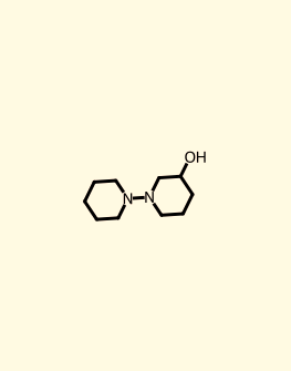 OC1CCCN(N2CCCCC2)C1